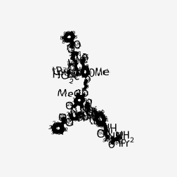 COc1cc2c(cc1OCCCOc1cc3c(cc1OC)C(=O)N1C[C@@H](OC(=O)c4ccccc4)C[C@H]1[C@H](O[Si](C)(C)C(C)(C)C)N3C(=O)OCc1ccc(NC(=O)[C@H](C)NC(=O)[C@@H](N)C(C)C)cc1)N(C(=O)O)[C@@H](O[Si](C)(C)C(C)(C)C)[C@@H]1C[C@H](OC(=O)c3ccccc3)CN1C2=O